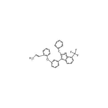 CC=Cc1ccccc1Oc1cccc(-c2c3cccc(C(F)(F)F)c3nn2Cc2ccccc2)c1